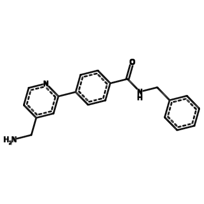 NCc1ccnc(-c2ccc(C(=O)NCc3ccccc3)cc2)c1